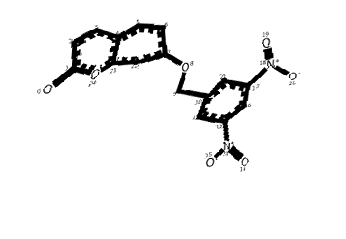 O=c1ccc2ccc(OCc3cc([N+](=O)[O-])cc([N+](=O)[O-])c3)cc2o1